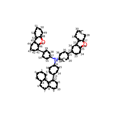 c1ccc2c(c1)ccc1cccc(-c3ccc(N(c4ccc(-c5ccc6oc7ccccc7c6c5)cc4)c4ccc(-c5cccc6c5oc5ccccc56)cc4)cc3)c12